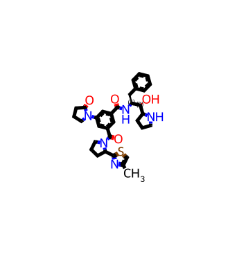 Cc1csc(C2CCCN2C(=O)c2cc(C(=O)N[C@@H](Cc3ccccc3)[C@H](O)C3CCCN3)cc(N3CCCC3=O)c2)n1